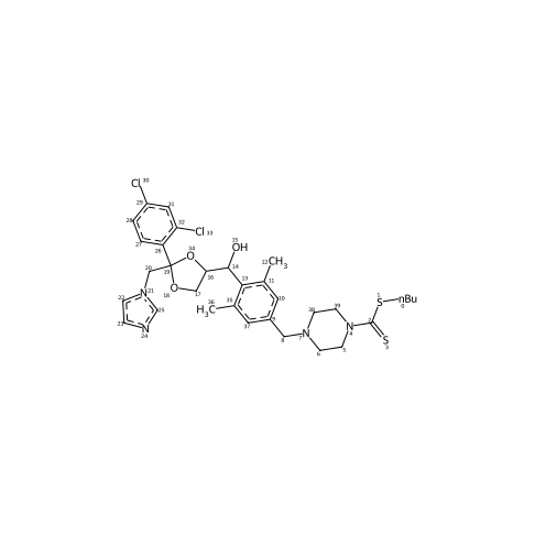 CCCCSC(=S)N1CCN(Cc2cc(C)c(C(O)C3COC(Cn4ccnc4)(c4ccc(Cl)cc4Cl)O3)c(C)c2)CC1